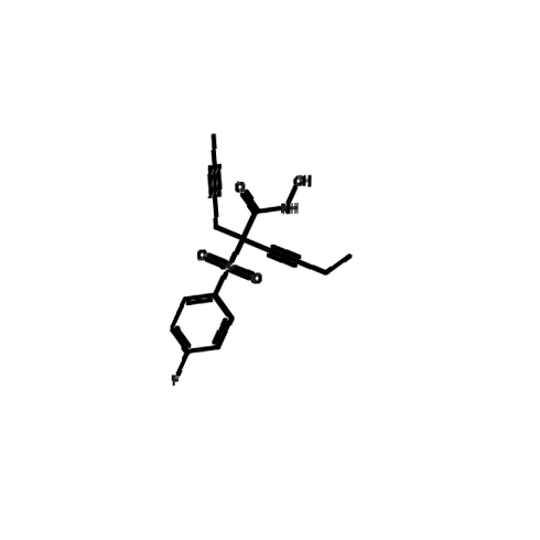 CC#CCC(C#CCC)(C(=O)NO)S(=O)(=O)c1ccc(F)cc1